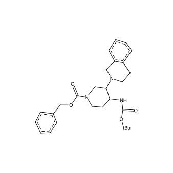 CC(C)(C)OC(=O)NC1CCN(C(=O)OCc2ccccc2)CC1N1CCc2ccccc2C1